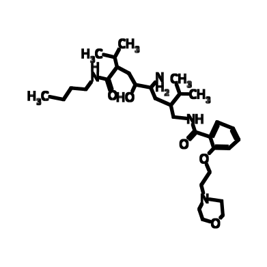 CCCCNC(=O)C(CC(O)C(N)CC(CNC(=O)c1ccccc1OCCN1CCOCC1)C(C)C)C(C)C